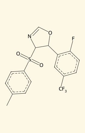 Cc1ccc(S(=O)(=O)C2N=COC2c2cc(C(F)(F)F)ccc2F)cc1